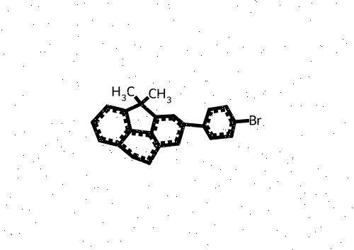 CC1(C)c2cccc3ccc4cc(-c5ccc(Br)cc5)cc1c4c23